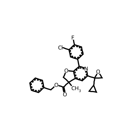 CC1(C(=O)OCc2ccccc2)COc2c1cc(C1(C3CC3)CO1)nc2-c1ccc(F)c(Cl)c1